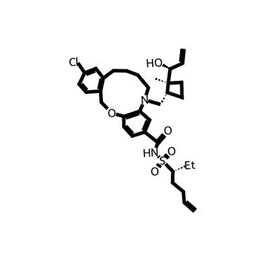 C=CCC[C@@H](CC)S(=O)(=O)NC(=O)c1ccc2c(c1)N(C[C@H]1CC[C@]1(C)[C@@H](O)C=C)CCCCc1cc(Cl)ccc1CO2